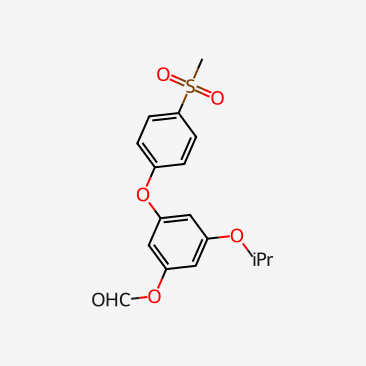 CC(C)Oc1cc(OC=O)cc(Oc2ccc(S(C)(=O)=O)cc2)c1